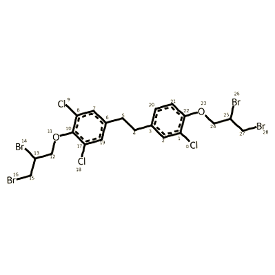 Clc1cc(CCc2cc(Cl)c(OCC(Br)CBr)c(Cl)c2)ccc1OCC(Br)CBr